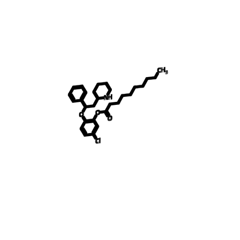 CCCCCCCCCC(=O)Oc1cc(Cl)ccc1OC(CC1CCCCN1)c1ccccc1